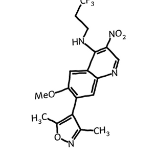 COc1cc2c(NCCC(F)(F)F)c([N+](=O)[O-])cnc2cc1-c1c(C)noc1C